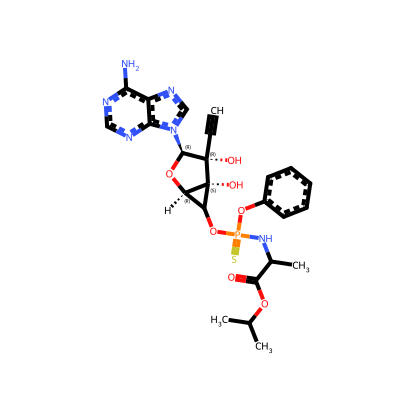 C#C[C@]1(O)[C@H](n2cnc3c(N)ncnc32)O[C@@H]2C(OP(=S)(NC(C)C(=O)OC(C)C)Oc3ccccc3)[C@@]21O